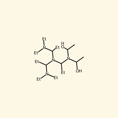 CCC(N(CC)CC)N(C(CC)N(CC)CC)C(CC)N(C(C)O)C(C)O